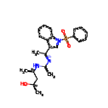 C=C(/N=C(\C)c1cn(S(=O)(=O)c2ccccc2)c2ccccc12)N[C@H](C)C[C@@H](C)O